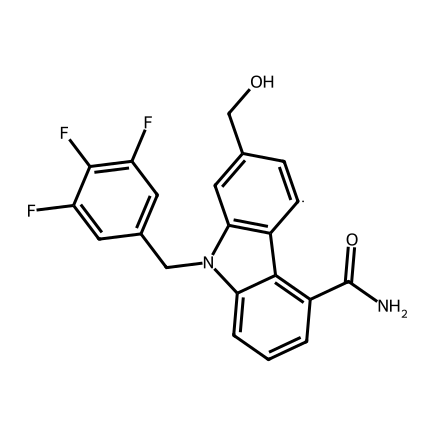 NC(=O)c1cccc2c1c1[c]cc(CO)cc1n2Cc1cc(F)c(F)c(F)c1